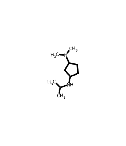 CC(C)NC1CCC(N(C)C)C1